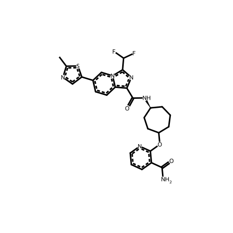 Cc1ncc(-c2ccc3c(C(=O)N[C@H]4CCCC(Oc5ncccc5C(N)=O)CC4)nc(C(F)F)n3c2)s1